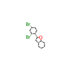 Brc1ccc(-c2cc3ccccc3o2)c(Br)c1